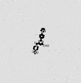 CS(=O)(=O)N1CCN(C(=O)c2cc(C=O)nc(-c3ccc(-n4cccn4)cc3)n2)CC1